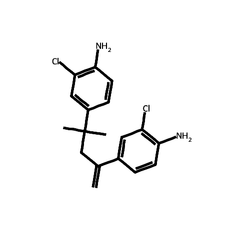 C=C(CC(C)(C)c1ccc(N)c(Cl)c1)c1ccc(N)c(Cl)c1